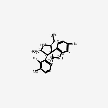 CC(C)(C)C[C@@H]1N[C@@H](C(=O)O)[C@H](c2cccc(Cl)c2F)[C@]12C(=O)Nc1cc(Cl)ccc12